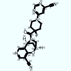 N#Cc1cc(N2CCC(F)(C(=O)N3C[C@@H]4C[C@H]3c3cncc(C#N)c3O4)CC2)ncn1